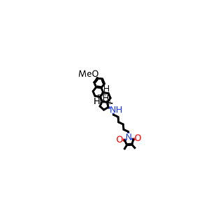 COc1ccc2c(c1)CC[C@@H]1[C@@H]2CC[C@]2(C)C(NCCCCCCN3C(=O)C(C)=C(C)C3=O)CC[C@@H]12